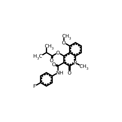 COc1cccc2c1c(OC(=O)C(C)C)c(C(=O)Nc1ccc(F)cc1)c(=O)n2C